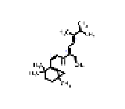 C=C/C(=C\C=C(/C)C(=C)C)N/C=C\C1=C2CC2(C)CCC1(C)C